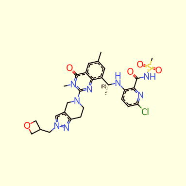 Cc1cc([C@@H](C)Nc2ccc(Cl)nc2C(=O)NS(C)(=O)=O)c2nc(N3CCc4nn(CC5COC5)cc4C3)n(C)c(=O)c2c1